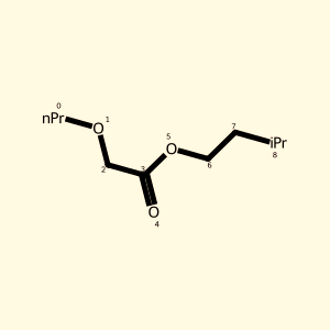 CCCOCC(=O)OCCC(C)C